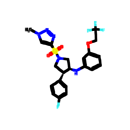 Cn1cc(S(=O)(=O)N2C[C@@H](Nc3cccc(OCC(F)(F)F)c3)[C@H](c3ccc(F)cc3)C2)nn1